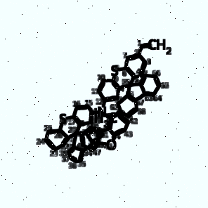 C=Cc1ccc2c(c1)Sc1ccc(N(c3ccc4c(c3)C3(c5ccccc5S4)c4ccccc4-c4ccccc43)c3cccc4oc5ccccc5c34)cc1C21C2=C(C=CC(C)C2)c2ccccc21